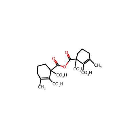 CC1=C(C(=O)O)C(C(=O)O)(C(=O)OC(=O)C2(C(=O)O)CCCC(C)=C2C(=O)O)CCC1